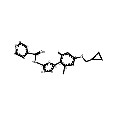 Cc1cc(OCC2CC2)cc(C)c1-c1csc(NC(=O)c2ccncc2)n1